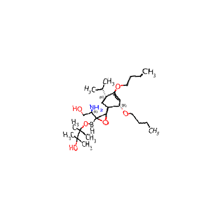 CCCCOC1=C[C@H](OCCCC)C(C2OC2(BOC(C)(C)C(C)(C)O)[C@H](N)CO)C[C@@H]1C(C)C